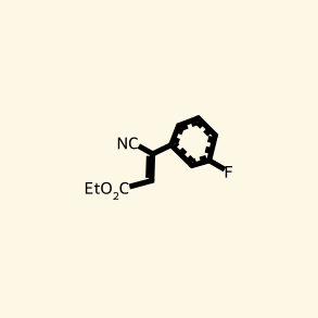 CCOC(=O)C=C(C#N)c1cccc(F)c1